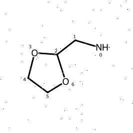 [NH]CC1OCCO1